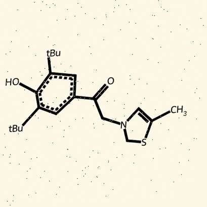 CC1=CN(CC(=O)c2cc(C(C)(C)C)c(O)c(C(C)(C)C)c2)CS1